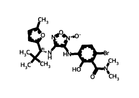 Cc1ccc([C@H](Nc2no[n+]([O-])c2Nc2ccc(Br)c(C(=O)N(C)C)c2O)C(C)(C)C)o1